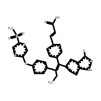 CC/C(=C(/c1ccc(/C=C/C(=O)O)cc1)c1ccc2[nH]nc(F)c2c1)c1ccc(Oc2cnc(S(C)(=O)=O)cn2)cc1